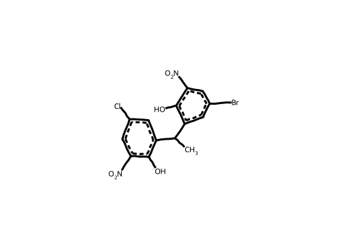 CC(c1cc(Cl)cc([N+](=O)[O-])c1O)c1cc(Br)cc([N+](=O)[O-])c1O